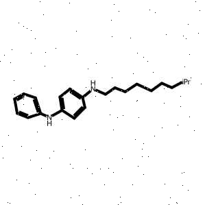 CC(C)CCCCCCCNc1ccc(Nc2ccccc2)cc1